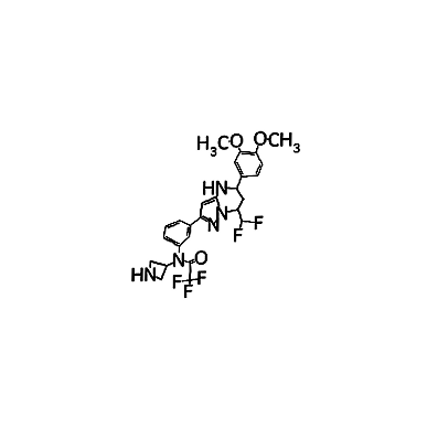 COc1ccc(C2CC(C(F)F)n3nc(-c4cccc(N(C(=O)C(F)(F)F)C5CNC5)c4)cc3N2)cc1OC